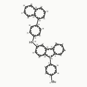 CC(C)(C)c1ccc(-n2c3ccccc3c3cc(Nc4ccc(-c5cccc6ccccc56)cc4)ccc32)cc1